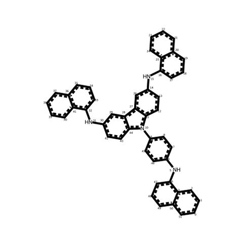 c1ccc2c(Nc3ccc(-n4c5ccc(Nc6cccc7ccccc67)cc5c5cc(Nc6cccc7ccccc67)ccc54)cc3)cccc2c1